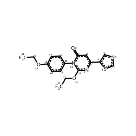 O=c1cc(-c2cncs2)nc(OCC(F)(F)F)n1-c1ccc(OCC(F)(F)F)cc1